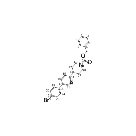 O=C(OCc1ccccc1)N1CCC(c2ccc(-c3ccc(Br)cc3)cn2)CC1